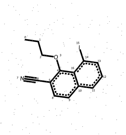 CCCOc1c(C#N)ccc2cccc(I)c12